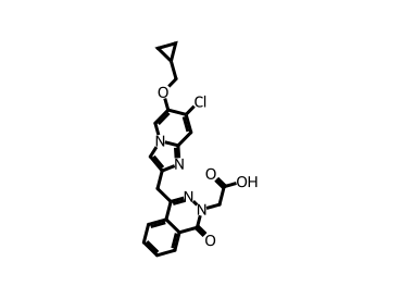 O=C(O)Cn1nc(Cc2cn3cc(OCC4CC4)c(Cl)cc3n2)c2ccccc2c1=O